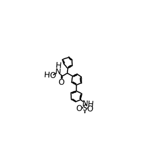 CS(=O)(=O)Nc1cccc(-c2cccc(C(C(=O)NO)c3ccccc3)c2)c1